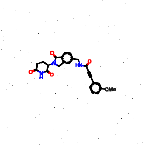 COc1cccc(C#CC(=O)NCc2ccc3c(c2)CN(C2CCC(=O)NC2=O)C3=O)c1